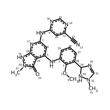 COc1c(Nc2cc(Nc3cc(C#N)ncn3)nc3[nH]n(C)c(=O)c23)cccc1C1N=CN(C)N1